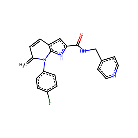 C=C1C=Cc2cc(C(=O)NCc3ccncc3)[nH]c2N1c1ccc(Cl)cc1